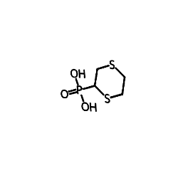 O=P(O)(O)C1CSCCS1